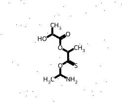 CC(N)OC(=S)C(C)OC(=O)C(C)O